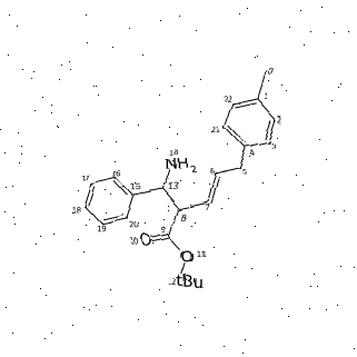 Cc1ccc(CC=CC(C(=O)OC(C)(C)C)C(N)c2ccccc2)cc1